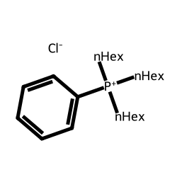 CCCCCC[P+](CCCCCC)(CCCCCC)c1ccccc1.[Cl-]